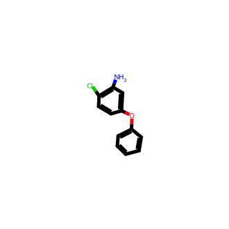 Nc1cc(Oc2ccccc2)ccc1Cl